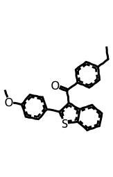 CCc1ccc(C(=O)c2c(-c3ccc(OC)cc3)sc3ccccc23)cc1